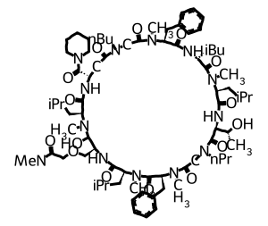 CCCCN1CC(=O)N(C)[C@@H](Cc2ccccc2)C(=O)N[C@@H]([C@@H](C)CC)C(=O)N(C)[C@@H](CC(C)C)C(=O)N[C@@H]([C@@H](C)O)C(=O)N(CCC)CC(=O)N(C)[C@@H](Cc2ccccc2)C(=O)N(C)[C@@H](CC(C)C)C(=O)N[C@@H](COCC(=O)NC)C(O)N(C)[C@@H](CC(C)C)C(=O)N[C@H](C(=O)N2CCCCC2)CC1=O